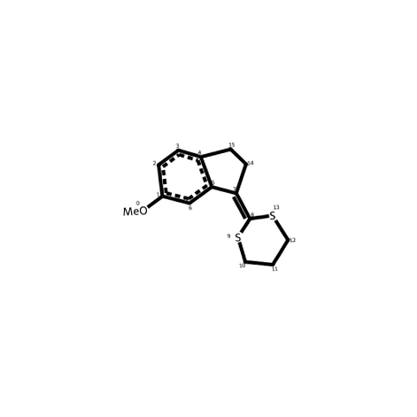 COc1ccc2c(c1)C(=C1SCCCS1)CC2